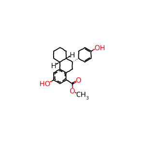 COC(=O)c1cc(O)cc2c1C[C@@H](C1C=CC(O)=CC1)[C@H]1CCCC[C@@H]21